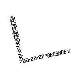 [Pb].[Pb].[Pb].[Pb].[Pb].[Pb].[Pb].[Pb].[Pb].[Pb].[Pb].[Pb].[Pb].[Pb].[Pb].[Pb].[Pb].[Zr].[Zr].[Zr].[Zr].[Zr].[Zr].[Zr].[Zr].[Zr].[Zr].[Zr].[Zr].[Zr].[Zr].[Zr].[Zr]